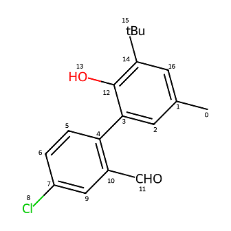 Cc1cc(-c2ccc(Cl)cc2C=O)c(O)c(C(C)(C)C)c1